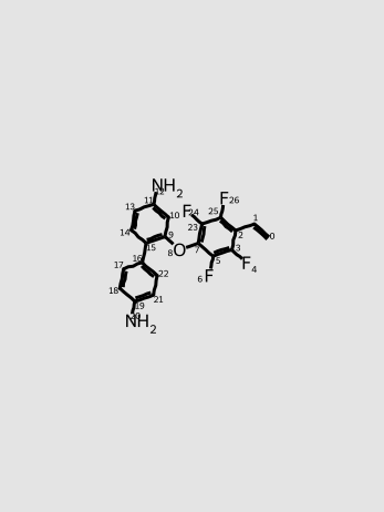 C=Cc1c(F)c(F)c(Oc2cc(N)ccc2-c2ccc(N)cc2)c(F)c1F